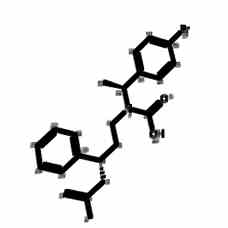 C=C(C)C[C@@H](CCN(C(=O)O)[C@@H](C)c1ccc(Br)cc1)c1ccccc1